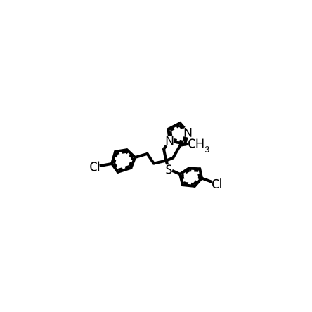 CCCC(CCc1ccc(Cl)cc1)(Cn1ccnc1)Sc1ccc(Cl)cc1